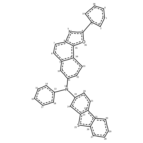 c1ccc(-c2nc3ccc4cc(N(c5ccccc5)c5ccc6c(c5)sc5ccccc56)ccc4c3o2)cc1